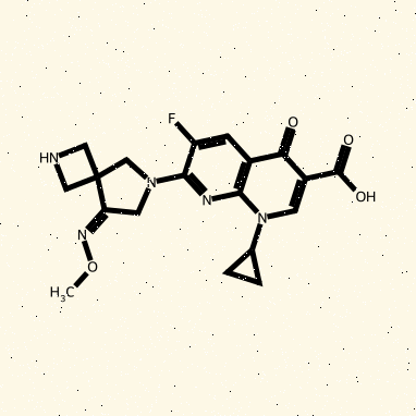 CON=C1CN(c2nc3c(cc2F)c(=O)c(C(=O)O)cn3C2CC2)CC12CNC2